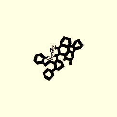 Cc1cc2c(c(-c3c(-c4ccccc4)nnnc3-c3cccc(-c4ccccc4)c3-c3cc4ccccc4[se]3)c1C)Cc1ccccc1-2